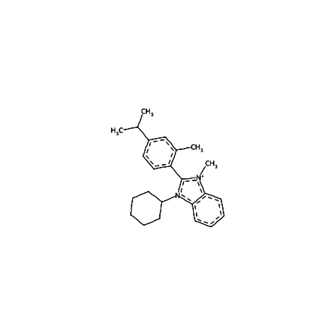 Cc1cc(C(C)C)ccc1-c1n(C2CCCCC2)c2ccccc2[n+]1C